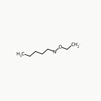 [CH2]CO[N]CCCCC